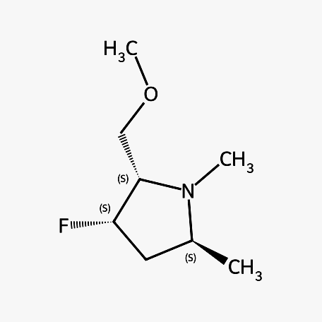 COC[C@H]1[C@@H](F)C[C@H](C)N1C